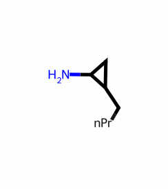 CCCCC1CC1N